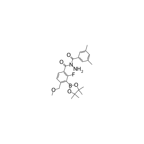 COCc1ccc(C(=O)N(N)C(=O)c2cc(C)cc(C)c2)c(F)c1B1OC(C)(C)C(C)(C)O1